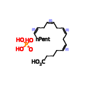 CCCCC/C=C\C/C=C\C/C=C\C/C=C\CCCC(=O)O.O=P(O)(O)O